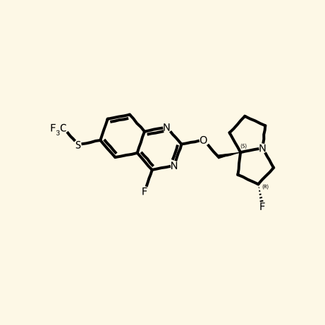 Fc1nc(OC[C@@]23CCCN2C[C@H](F)C3)nc2ccc(SC(F)(F)F)cc12